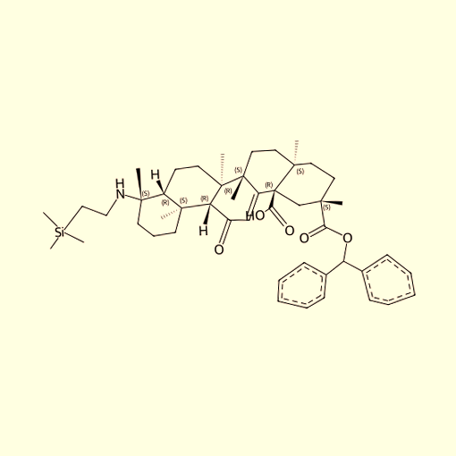 C[C@]1(C(=O)OC(c2ccccc2)c2ccccc2)CC[C@]2(C)CC[C@]3(C)C(=CC(=O)[C@@H]4[C@@]5(C)CCC[C@](C)(NCC[Si](C)(C)C)[C@@H]5CC[C@]43C)[C@@]2(C(=O)O)C1